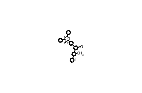 CC1CC(c2ccccn2)=CC=C1c1cc(C#N)cc(-c2ccc(C3N=C(c4ccccc4)N=C(c4ccccc4)N3C)cc2)c1